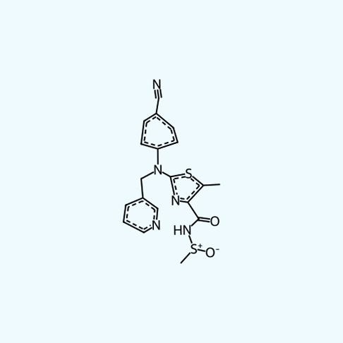 Cc1sc(N(Cc2cccnc2)c2ccc(C#N)cc2)nc1C(=O)N[S+](C)[O-]